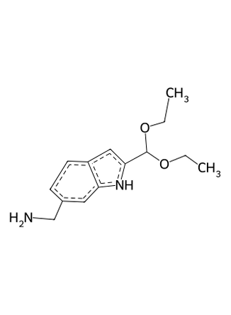 CCOC(OCC)c1cc2ccc(CN)cc2[nH]1